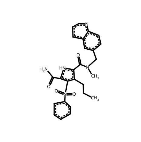 CCCc1c(C(=O)N(C)Cc2ccc3ncccc3c2)[nH]c(C(N)=O)c1S(=O)(=O)c1ccccc1